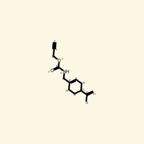 C#CCOC(=O)NCC1=CCC(C(=C)C)CC1